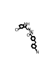 N#Cc1cccc(Cc2ccc(C(=O)N=[N+]=NCc3c[nH]c4ccc(Cl)cc34)cc2)c1